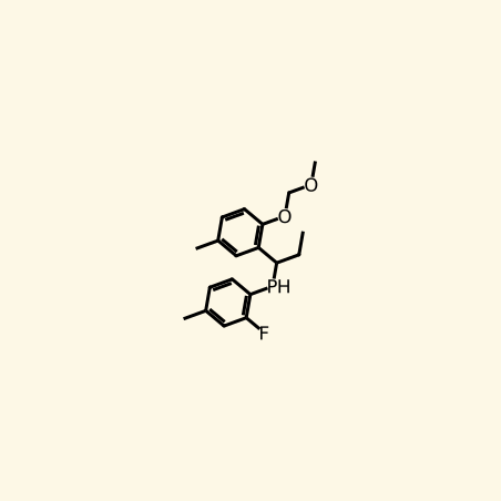 CCC(Pc1ccc(C)cc1F)c1cc(C)ccc1OCOC